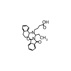 CCC(N1C(=O)c2ccccc2C1=O)N(CCCC(=O)O)C1CCCc2ccccc21